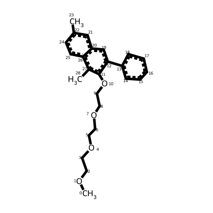 COCCOCCOCCOc1c(-c2ccccc2)cc2cc(C)ccc2c1C